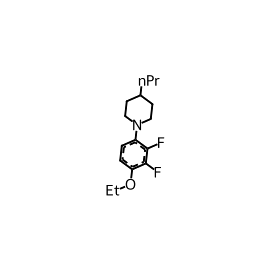 CCCC1CCN(c2ccc(OCC)c(F)c2F)CC1